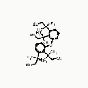 CC(C)(C)CC(C)(C)c1cccc(Oc2cccc(C(C)(C)CC(C)(C)C)c2C(C)(C)CC(C)(C)C)c1C(C)(C)CC(C)(C)C